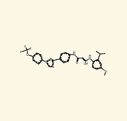 COc1ccc(NC(O)=CC(=O)Nc2ccc(-c3ncn(-c4ccc(OC(F)(F)F)cc4)n3)cc2)c(C(C)C)c1